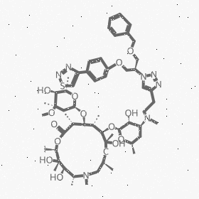 CO[C@]1(C)C[C@H](O[C@H]2[C@H](C)[C@@H](O[C@@H]3O[C@H](C)C[C@H](N(C)CCc4cn([C@H](COCc5ccccc5)COc5ccc(-c6csnn6)cc5)nn4)[C@H]3O)[C@](C)(O)C[C@@H](C)CN(C)[C@H](C)[C@@H](O)[C@](C)(O)[C@@H](I)OC(=O)[C@@H]2C)O[C@@H](C)[C@@H]1O